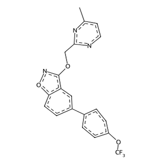 Cc1ccnc(COc2noc3ccc(-c4ccc(OC(F)(F)F)cc4)cc23)n1